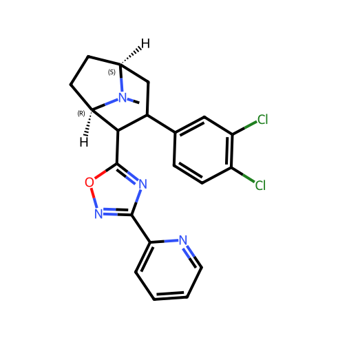 CN1[C@H]2CC[C@@H]1C(c1nc(-c3ccccn3)no1)C(c1ccc(Cl)c(Cl)c1)C2